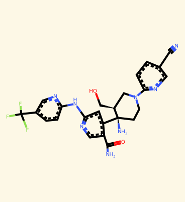 N#Cc1ccc(N2CC[C@](N)(c3cc(Nc4ccc(C(F)(F)F)cn4)ncc3C(N)=O)[C@@H](CO)C2)nc1